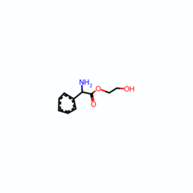 NC(C(=O)OCCO)c1ccccc1